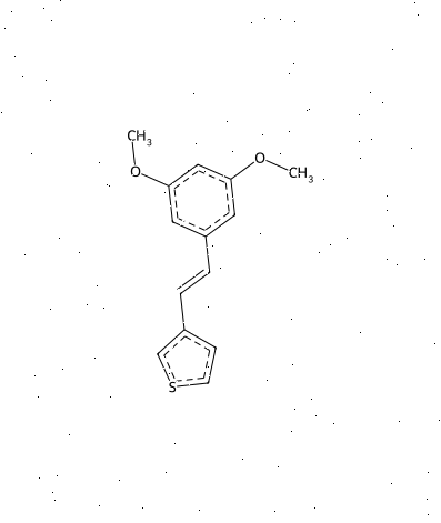 COc1cc(/C=C/c2ccsc2)cc(OC)c1